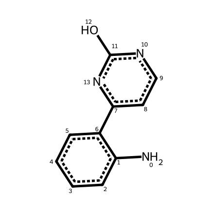 Nc1ccccc1-c1ccnc(O)n1